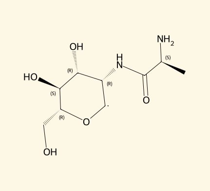 C[C@H](N)C(=O)N[C@@H]1[CH]O[C@H](CO)[C@@H](O)[C@@H]1O